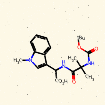 Cn1cc(C(NC(=O)C(C)(C)NC(=O)OC(C)(C)C)C(=O)O)c2ccccc21